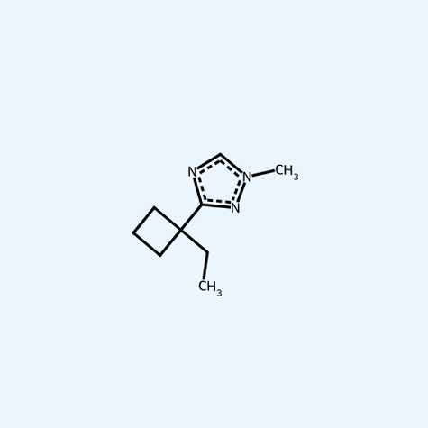 CCC1(c2ncn(C)n2)CCC1